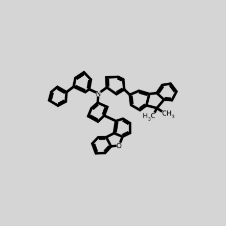 CC1(C)c2ccccc2-c2cc(-c3cccc(N(c4cccc(-c5ccccc5)c4)c4cccc(-c5cccc6oc7ccccc7c56)c4)c3)ccc21